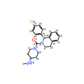 CNC1CCN(C(=O)N2CCc3ccccc3[C@@H]2c2ccc(F)cc2)CC1